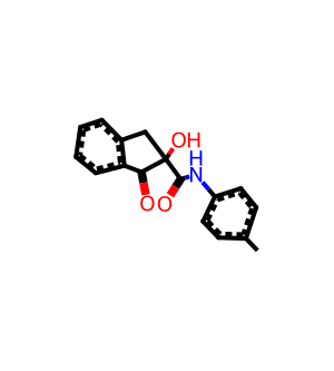 Cc1ccc(NC(=O)C2(O)Cc3ccccc3C2=O)cc1